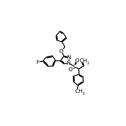 C=CC(c1ccc(C)cc1)S(=O)(=O)n1cc(-c2ccc(F)cc2)c(OCc2ccccc2)n1